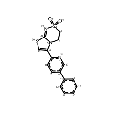 O=S1(=O)CCN2C(c3ccc(-c4ccccc4)cn3)=CSC2=N1